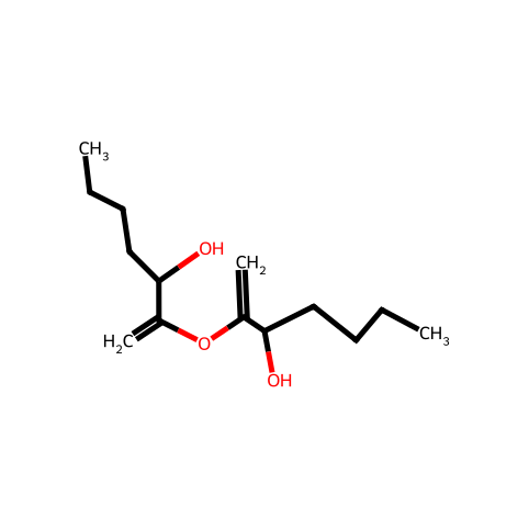 C=C(OC(=C)C(O)CCCC)C(O)CCCC